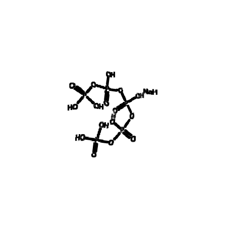 O=P(O)(O)OP(=O)(O)OP(=O)(O)OP(=O)(O)OP(=O)(O)O.[NaH]